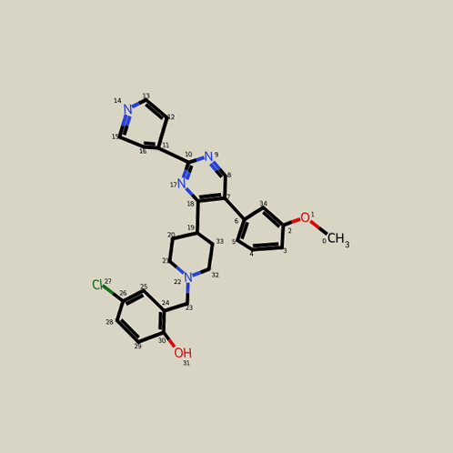 COc1cccc(-c2cnc(-c3ccncc3)nc2C2CCN(Cc3cc(Cl)ccc3O)CC2)c1